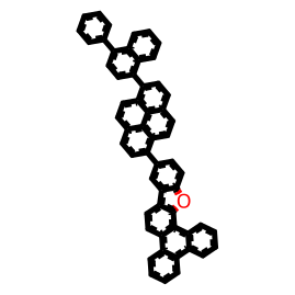 c1ccc(-c2ccc(-c3ccc4ccc5c(-c6ccc7oc8c(ccc9c%10ccccc%10c%10ccccc%10c98)c7c6)ccc6ccc3c4c65)c3ccccc23)cc1